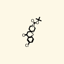 CC(C)(C)OC(=O)N1CCC2(CC1)CC(=O)c1cc(Cl)ccc1S2